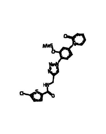 CSOc1cc(-n2ccccc2=O)ccc1-n1cc(CNC(=O)c2ccc(Cl)s2)nn1